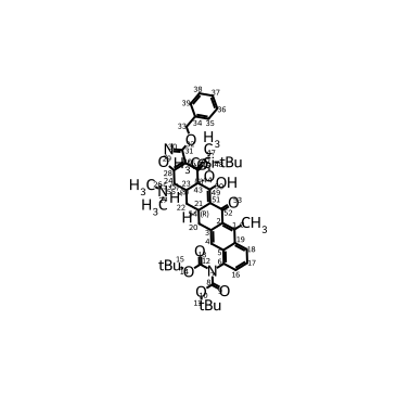 Cc1c2c(cc3c(N(C(=O)OC(C)(C)C)C(=O)OC(C)(C)C)cccc13)C[C@H]1C[C@H]3[C@H](N(C)C)c4onc(OCc5ccccc5)c4C(=O)[C@@]3(O[Si](C)(C)C(C)(C)C)C(O)=C1C2=O